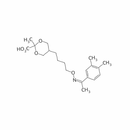 CC(=NOCCCCC1COC(C)(C(=O)O)OC1)c1ccc(C)c(C)c1